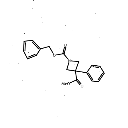 COC(=O)C1(c2ccccc2)CN(C(=O)OCc2ccccc2)C1